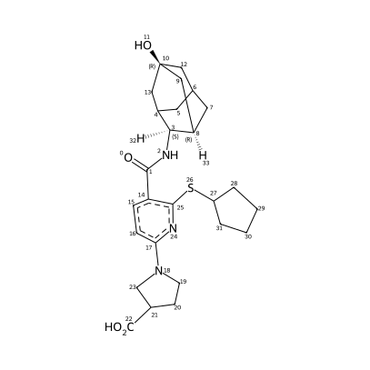 O=C(N[C@H]1C2CC3C[C@@H]1C[C@@](O)(C3)C2)c1ccc(N2CCC(C(=O)O)C2)nc1SC1CCCC1